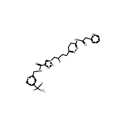 CC(F)(F)c1ccnc(CNC(=O)c2cn(CC(F)CCC3=NN=C(NC(=O)Cc4ccccn4)CC3)nn2)c1